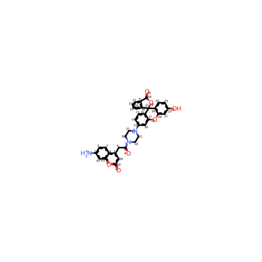 Nc1ccc2c(CC(=O)N3CCN(c4ccc5c(c4)Oc4cc(O)ccc4C54OC(=O)c5ccccc54)CC3)cc(=O)oc2c1